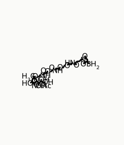 BC1CC(=O)N(CCCC(=O)NCCOCCOCCNC(=O)COCC(=O)NCCOC2(C)CC(O)C(NC(C)=O)C(C(O)C(O)CO)O2)C1=O